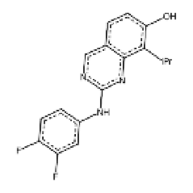 CC(C)c1c(O)ccc2cnc(Nc3ccc(F)c(F)c3)nc12